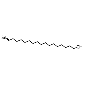 CCCCCCCCCCCCCCCCCC=[Se]